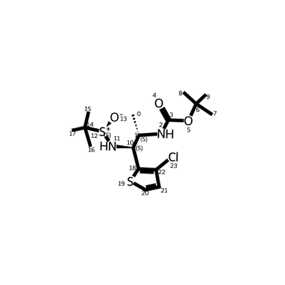 C[C@H](NC(=O)OC(C)(C)C)[C@H](N[S@+]([O-])C(C)(C)C)c1sccc1Cl